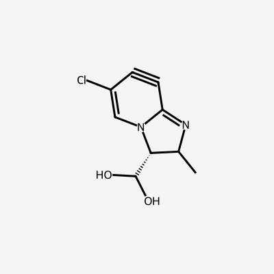 CC1N=C2C#CC(Cl)=CN2[C@H]1C(O)O